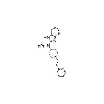 CCCN(c1nc2ccccc2[nH]1)C1CCN(CCc2ccccc2)CC1